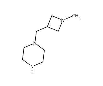 CN1CC(CN2CCNCC2)C1